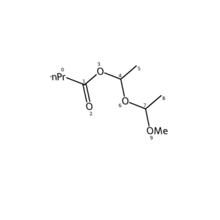 CC[CH]C(=O)OC(C)OC(C)OC